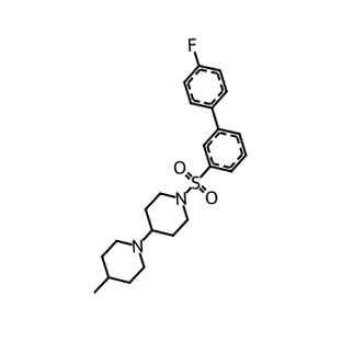 CC1CCN(C2CCN(S(=O)(=O)c3cccc(-c4ccc(F)cc4)c3)CC2)CC1